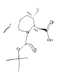 CC.C[C@H]1CCN(C(=O)OC(C)(C)C)[C@@H]1C(=O)O